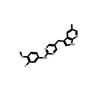 COc1ccc(Nc2ncc(Cc3c[nH]c4ncc(C)cc34)cn2)cc1F